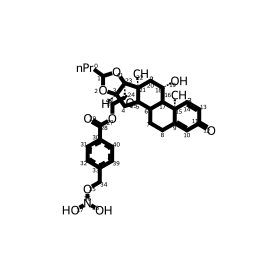 CCCC1O[C@@H]2CC3C4CCC5=CC(=O)C=C[C@]5(C)C4[C@@H](O)C[C@]3(C)[C@]2(C(=O)COC(=O)c2ccc(CON(O)O)cc2)O1